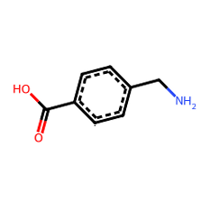 NCc1c[c]c(C(=O)O)cc1